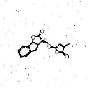 CC1=CC(O/C=C2/C(=O)OC3c4ccccc4CC23)OC1=O